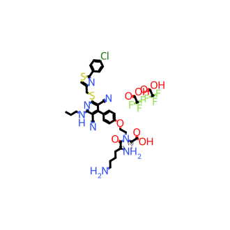 CCCNc1nc(SCc2csc(-c3ccc(Cl)cc3)n2)c(C#N)c(-c2ccc(OCCN(C(=O)[C@@H](N)CCCCN)[C@@H](C)C(=O)O)cc2)c1C#N.O=C(O)C(F)(F)F.O=C(O)C(F)(F)F